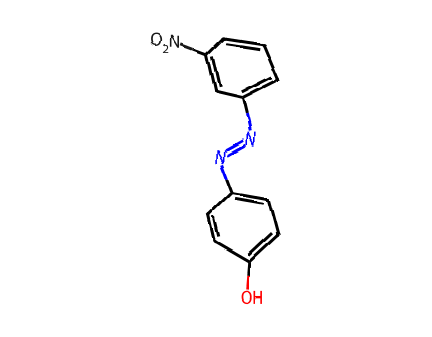 O=[N+]([O-])c1cccc(N=Nc2ccc(O)cc2)c1